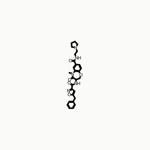 CN1C(=O)C(NC(=O)c2cc(Cc3ccccc3)on2)COc2ccc(C(=O)NCCN3CCCC3)cc21